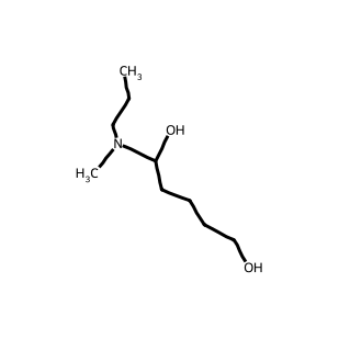 CCCN(C)C(O)CCCCO